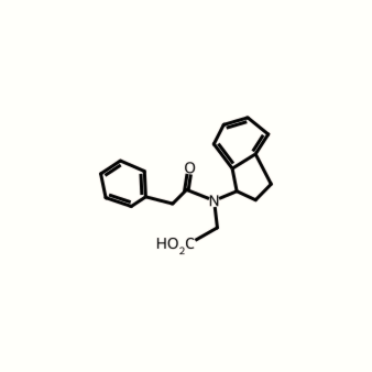 O=C(O)CN(C(=O)Cc1ccccc1)C1CCc2ccccc21